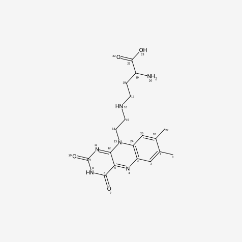 Cc1cc2nc3c(=O)[nH]c(=O)nc-3n(CCNCCC(N)C(=O)O)c2cc1C